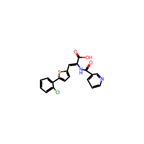 O=C(O)C(=Cc1ccc(-c2ccccc2Cl)s1)NC(=O)c1cccnc1